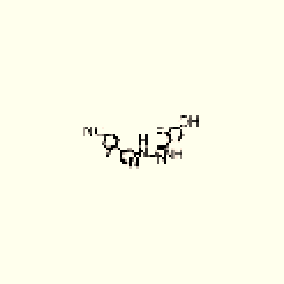 Cc1cc(C#N)ccc1-c1ccnc(NCc2cc(-c3ccc(O)cc3F)[nH]n2)c1